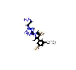 Cc1c(-c2cc(Br)cc(C=O)c2)c(Br)cn1-c1nnn(CCN)n1